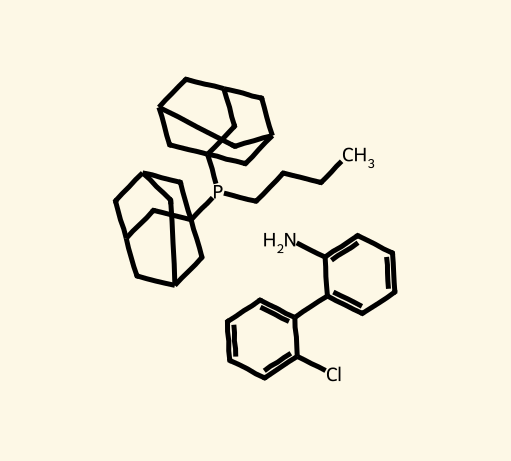 CCCCP(C12CC3CC(CC(C3)C1)C2)C12CC3CC(CC(C3)C1)C2.Nc1ccccc1-c1ccccc1Cl